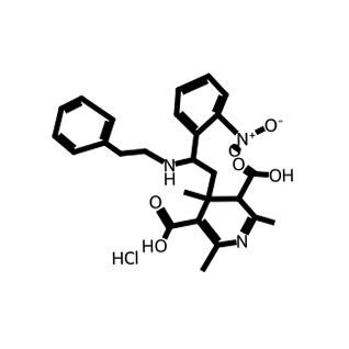 CC1=NC(C)=C(C(=O)O)C(C)(CC(NCCc2ccccc2)c2ccccc2[N+](=O)[O-])C1C(=O)O.Cl